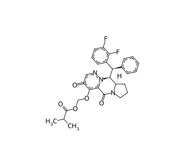 CC(C)C(=O)OCOc1c2n(ncc1=O)[C@@H]([C@H](c1ccccc1)c1cccc(F)c1F)[C@H]1CCCN1C2=O